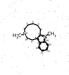 CN1CCCCCc2c(c3ccccc3n2C)CC1